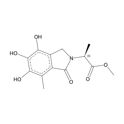 COC(=O)[C@H](C)N1Cc2c(O)c(O)c(O)c(C)c2C1=O